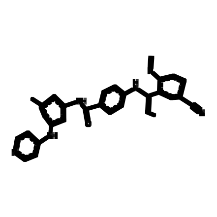 C=Nc1ccc(C#N)cc1/C(=C\C)Nc1ccc(C(=O)Nc2cc(C)cc(Nc3ccncc3)c2)cc1